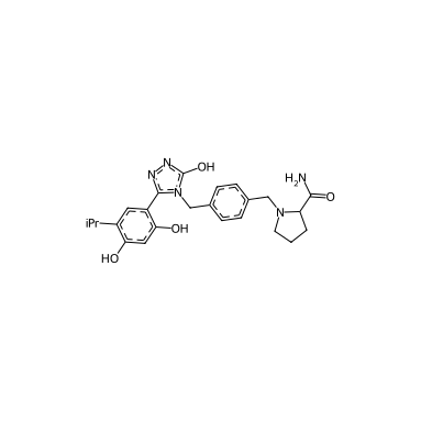 CC(C)c1cc(-c2nnc(O)n2Cc2ccc(CN3CCCC3C(N)=O)cc2)c(O)cc1O